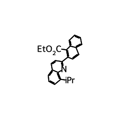 CCOC(=O)c1c(-c2ccc3cccc(C(C)C)c3n2)ccc2ccccc12